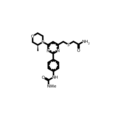 CNC(=O)Nc1ccc(-c2nc(CSCC(N)=O)cc(N3CCOC[C@@H]3C)n2)cc1